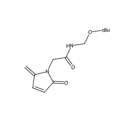 C=C1C=CC(=O)N1CC(=O)NCOC(C)(C)C